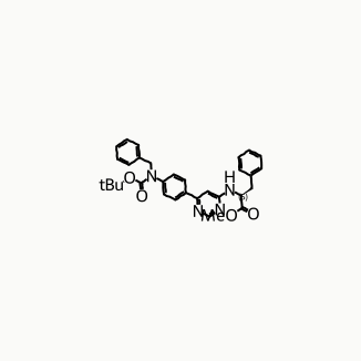 COC(=O)[C@H](Cc1ccccc1)Nc1cc(-c2ccc(N(Cc3ccccc3)C(=O)OC(C)(C)C)cc2)ncn1